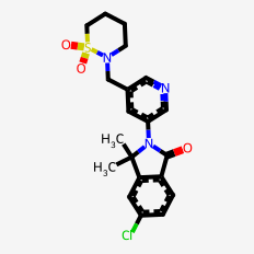 CC1(C)c2cc(Cl)ccc2C(=O)N1c1cncc(CN2CCCCS2(=O)=O)c1